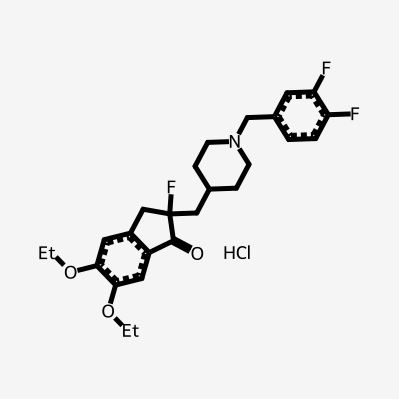 CCOc1cc2c(cc1OCC)C(=O)C(F)(CC1CCN(Cc3ccc(F)c(F)c3)CC1)C2.Cl